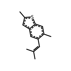 CC(C)=Cc1cc2cc(C)sc2cc1C